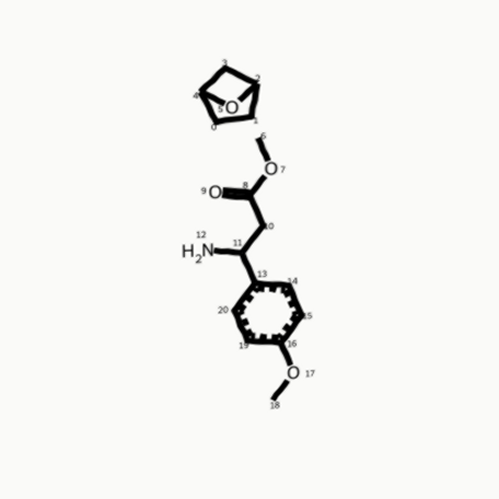 C1CC2CC1O2.COC(=O)CC(N)c1ccc(OC)cc1